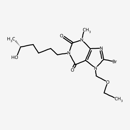 CCOCn1c(Br)nc2c1c(=O)n(CCCC[C@@H](C)O)c(=O)n2C